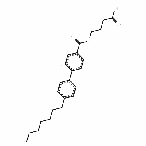 CCCCCCCc1ccc(-c2ccc(C(=O)NCCCC(=O)O)cc2)cc1